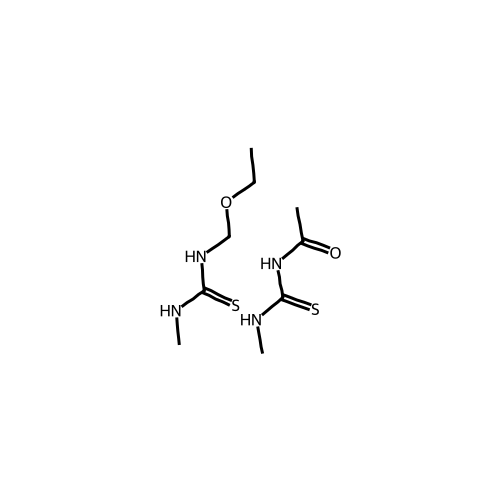 CCOCNC(=S)NC.CNC(=S)NC(C)=O